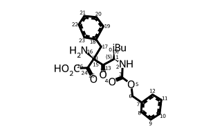 CC[C@H](C)[C@H](NC(=O)OCc1ccccc1)C(=O)[C@@](N)(Cc1ccccc1)C(=O)C(=O)O